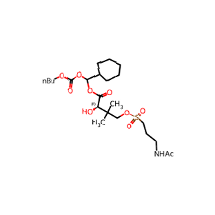 CCCCOC(=O)OC(OC(=O)[C@H](O)C(C)(C)COS(=O)(=O)CCCNC(C)=O)C1CCCCC1